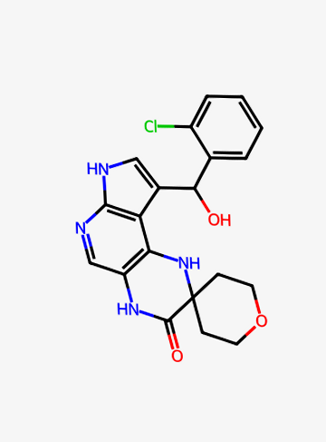 O=C1Nc2cnc3[nH]cc(C(O)c4ccccc4Cl)c3c2NC12CCOCC2